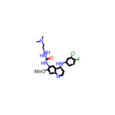 COc1cc2nccc(Nc3ccc(F)c(Cl)c3)c2cc1NC(=O)NNCCN(C)C